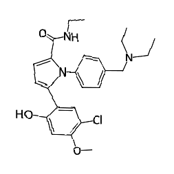 CCNC(=O)c1ccc(-c2cc(Cl)c(OC)cc2O)n1-c1ccc(CN(CC)CC)cc1